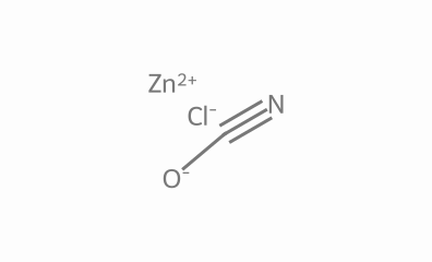 N#C[O-].[Cl-].[Zn+2]